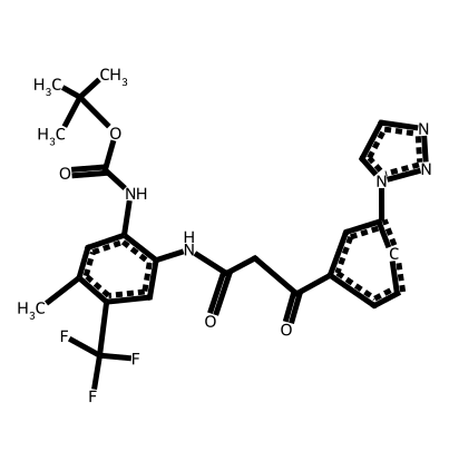 Cc1cc(NC(=O)OC(C)(C)C)c(NC(=O)CC(=O)c2cccc(-n3ccnn3)c2)cc1C(F)(F)F